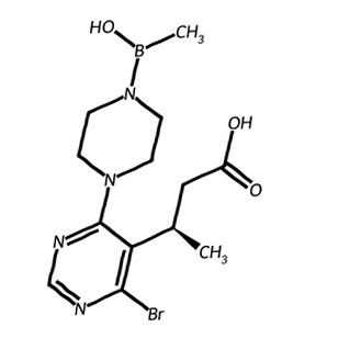 CB(O)N1CCN(c2ncnc(Br)c2[C@H](C)CC(=O)O)CC1